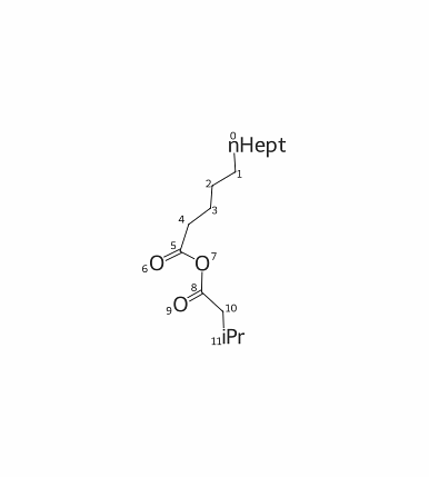 CCCCCCCCCCCC(=O)OC(=O)CC(C)C